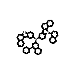 c1ccc(-c2cc(N(c3ccc4oc5ccc6ccccc6c5c4c3)c3ccc4c(c3)c3ccc5ccccc5c3n4-c3cccc4ccccc34)cc3ccccc23)cc1